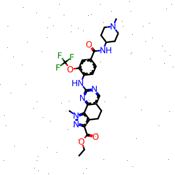 CCOC(=O)c1nn(C)c2c1CCc1cnc(Nc3ccc(C(=O)NC4CCN(C)CC4)cc3OC(F)(F)F)nc1-2